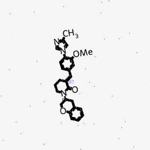 COc1cc(/C=C2\CCCN([C@@H]3COc4ccccc4C3)C2=O)ccc1-n1cnc(C)c1